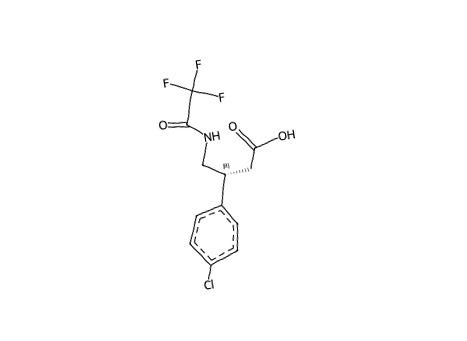 O=C(O)C[C@@H](CNC(=O)C(F)(F)F)c1ccc(Cl)cc1